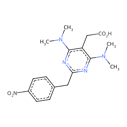 CN(C)c1nc(Cc2ccc([N+](=O)[O-])cc2)nc(N(C)C)c1CC(=O)O